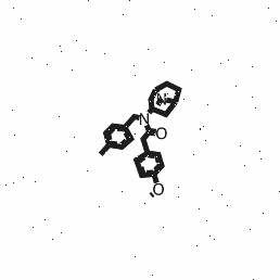 COc1ccc(CC(=O)N(Cc2ccc(C)cc2)C2CC3CCC(C2)N3C)cc1